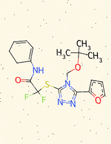 CC(C)(C)OCn1c(SC(F)(F)C(=O)NC2=CC=CCC2)nnc1-c1ccco1